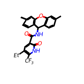 CCc1cc(C(=O)NC2c3ccc(C)cc3Oc3cc(C)ccc32)c(=O)[nH]c1C(F)(F)F